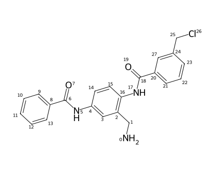 NCc1cc(NC(=O)c2ccccc2)ccc1NC(=O)c1cccc(CCl)c1